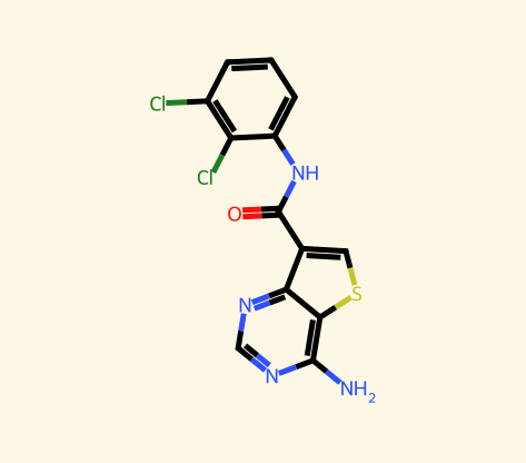 Nc1ncnc2c(C(=O)Nc3cccc(Cl)c3Cl)csc12